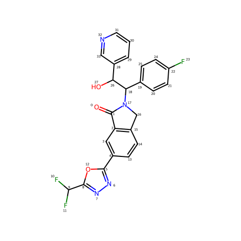 O=C1c2cc(-c3nnc(C(F)F)o3)ccc2CN1C(c1ccc(F)cc1)C(O)c1cccnc1